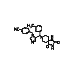 Cc1cccc(C(c2cncn2Cc2ccc(C#N)cc2)N2CCC3(CC2)NC(=O)NC3=O)c1